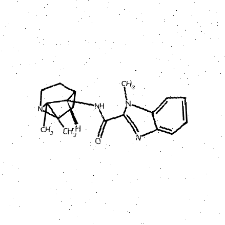 Cn1c(C(=O)N[C@H]2C3CCN(CC3)C2(C)C)nc2ccccc21